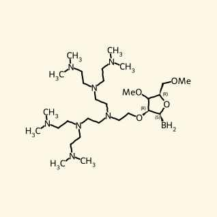 B[C@@H]1O[C@H](COC)C(OC)[C@@H]1OCCN(CCN(CCN(C)C)CCN(C)C)CCN(CCN(C)C)CCN(C)C